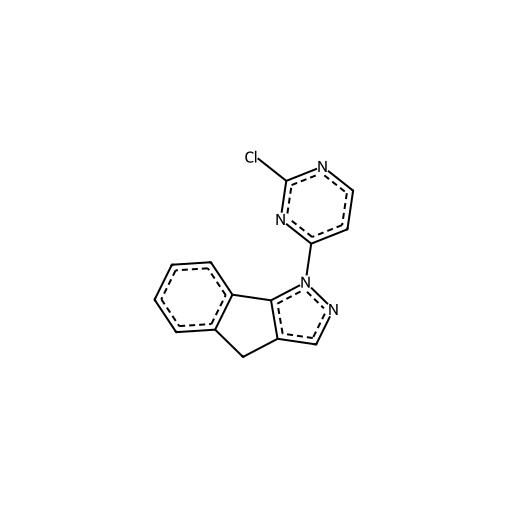 Clc1nccc(-n2ncc3c2-c2ccccc2C3)n1